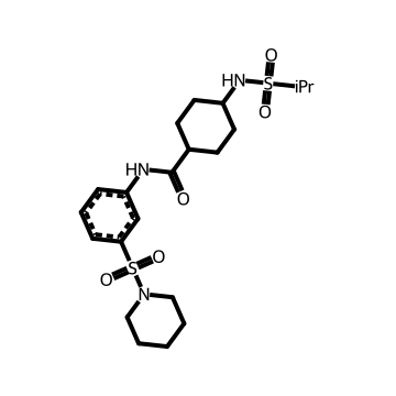 CC(C)S(=O)(=O)NC1CCC(C(=O)Nc2cccc(S(=O)(=O)N3CCCCC3)c2)CC1